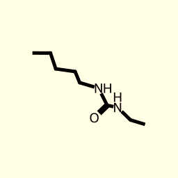 CCCCCNC(=O)NCC